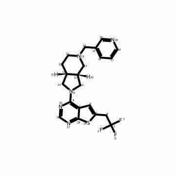 FC(F)(F)Cc1cc2c(N3C[C@H]4CN(Cc5cccnc5)CC[C@H]4C3)ncnc2s1